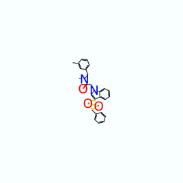 Cc1cccc(CN(C)C(=O)Cn2cc(S(=O)(=O)Cc3ccccc3)c3ccccc32)c1